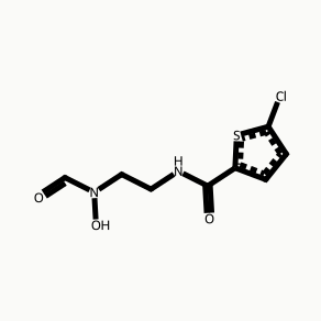 O=CN(O)CCNC(=O)c1ccc(Cl)s1